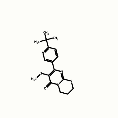 CSc1c(-c2ccc(C(C)(C)C)nc2)nc2n(c1=O)CCCS2